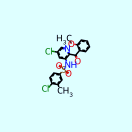 COc1ccccc1C(=O)c1ncc(Cl)cc1NS(=O)(=O)c1ccc(Cl)c(C)c1